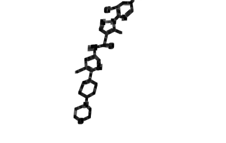 Cc1cc(NC(=O)c2cnn(-c3ncc(C(F)(F)F)cc3Cl)c2C)cnc1C1=CCC(N2CCOCC2)CC1